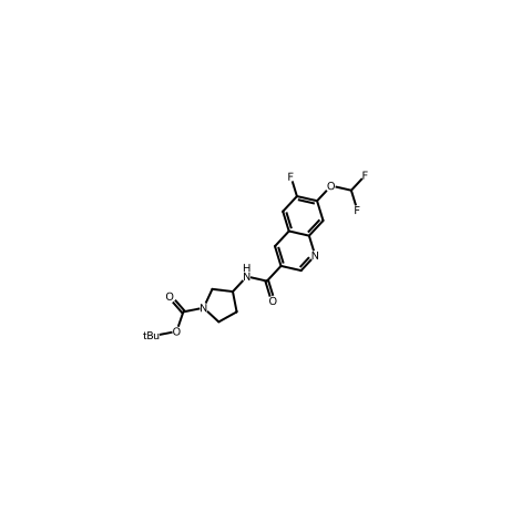 CC(C)(C)OC(=O)N1CCC(NC(=O)c2cnc3cc(OC(F)F)c(F)cc3c2)C1